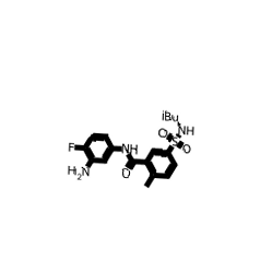 CC[C@H](C)NS(=O)(=O)c1ccc(C)c(C(=O)Nc2ccc(F)c(N)c2)c1